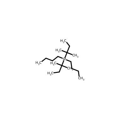 CCC[CH2][Sn]([CH2]CCC)([C](C)(C)CC)[C](C)(C)CC